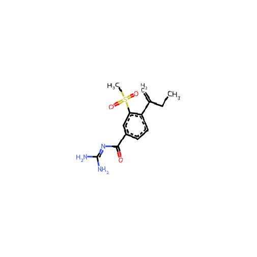 C=C(CC)c1ccc(C(=O)N=C(N)N)cc1S(C)(=O)=O